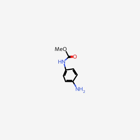 [CH2]OC(=O)Nc1ccc(N)cc1